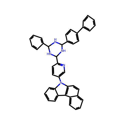 c1ccc(-c2ccc(C3NC(c4ccccc4)NC(c4ccc(-n5c6ccccc6c6c7ccccc7ccc65)cn4)N3)cc2)cc1